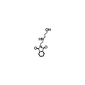 O=C1c2ccccc2C(=O)N1CCNCCCO